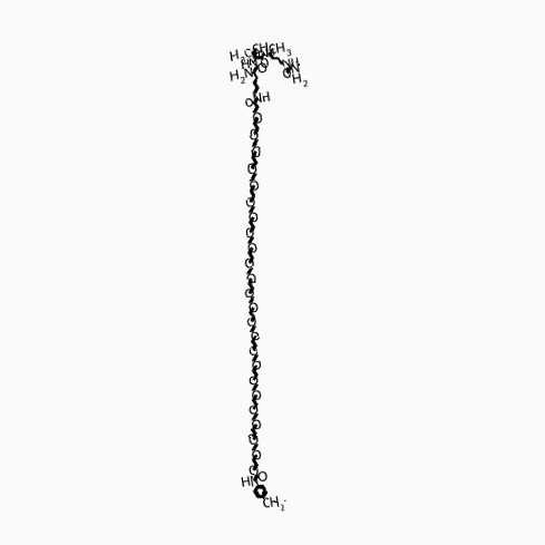 [CH2]c1ccc(NC(=O)OCCOCCOCCOCCOCCOCCOCCOCCOCCOCCOCCOCCOCCOCCOCCOCCOCCOCCOCCOCCOCCOCCOCCOCCC(=O)NCCCC[C@H](N)C(=O)N[C@H](C(=O)N[C@@H](C)CCCNC(N)=O)C(C)C)cc1